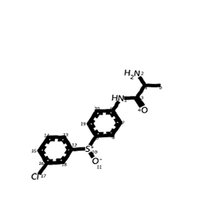 CC(N)C(=O)Nc1ccc([S+]([O-])c2cccc(Cl)c2)cc1